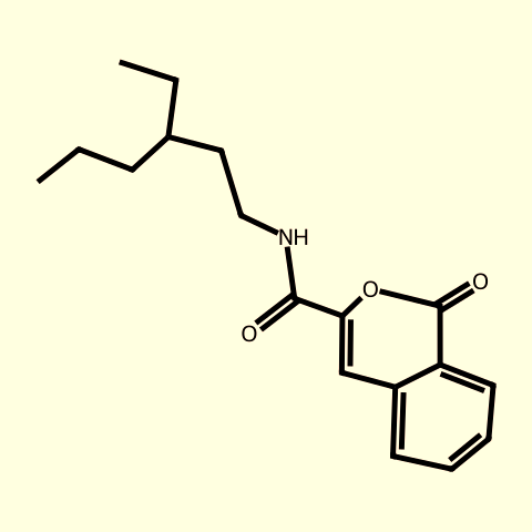 CCCC(CC)CCNC(=O)c1cc2ccccc2c(=O)o1